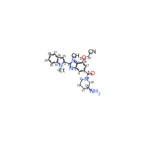 CCn1c(-c2nc3cc(C(=O)N4CCC[C@@H](N)C4)cc(OCC#N)c3n2C)cc2ccccc21